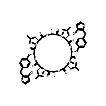 CC(C)C[C@H]1C(=O)O[C@H](Cc2ccc(Cc3sccc3Cl)cc2)C(=O)N(C)[C@@H](CC(C)C)C(=O)O[C@H](C)C(=O)N(C)[C@@H](CC(C)C)C(=O)O[C@H](Cc2ccc(Cc3sccc3Cl)cc2)C(=O)N(C)[C@@H](CC(C)C)C(=O)O[C@H](C)C(=O)N1C